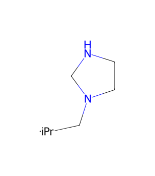 C[C](C)CN1CCNC1